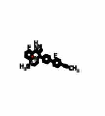 CC#Cc1ccc(-c2ccc(C(c3cn[nH]c3-c3ccccc3F)N3CCN(C)CC3)cc2)c(F)c1